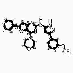 FC(F)(F)Oc1cccc(-c2cc(Nc3nc(N4CCOCC4)c4oc(-c5ccncc5)cc4n3)[nH]n2)c1